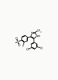 CS(=O)(=O)c1ccc(-c2nc(C(F)(F)F)[nH]c2-c2cc(Cl)cc(Cl)c2)cc1F